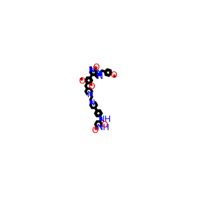 COc1ccc(Cn2ncc3c(-c4cc(OC)c(CC5CCN(CCN6CCC(c7ccc(NC8CCC(=O)NC8=O)cc7)CC6)CC5)c(OC)c4)cn(C)c(=O)c32)cc1